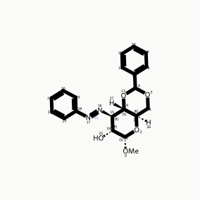 CO[C@H]1O[C@@H]2COC(c3ccccc3)O[C@H]2[C@H](/N=N/c2ccccc2)[C@H]1O